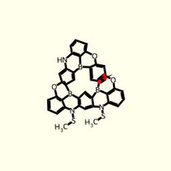 CSN1c2cc3c(cc2B2c4ccccc4Oc4cccc1c42)B1c2cc4c(cc2Oc2cccc(c21)N3SC)Nc1cccc2c1B4c1ccccc1O2